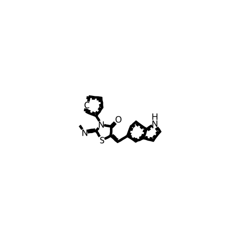 CN=C1SC(=Cc2ccc3[nH]ccc3c2)C(=O)N1c1ccccc1